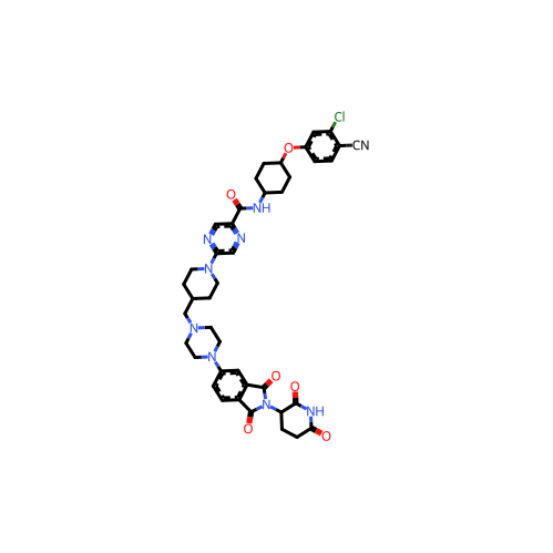 N#Cc1ccc(OC2CCC(NC(=O)c3cnc(N4CCC(CN5CCN(c6ccc7c(c6)C(=O)N(C6CCC(=O)NC6=O)C7=O)CC5)CC4)cn3)CC2)cc1Cl